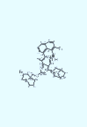 C#Cc1c(F)ccc2cccc(-c3ncc4c(N5CC6CCC(C5)N6)nc(OC[C@@]56CCCN5C[C@H](F)C6)nc4c3F)c12